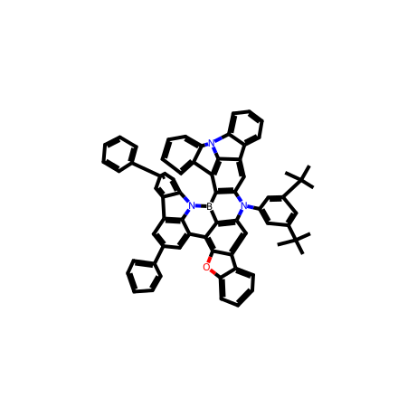 CC(C)(C)c1cc(N2c3cc4c(oc5ccccc54)c4c3B(c3c2cc2c5ccccc5n5c6ccccc6c3c25)n2c3ccc(-c5ccccc5)cc3c3cc(-c5ccccc5)cc-4c32)cc(C(C)(C)C)c1